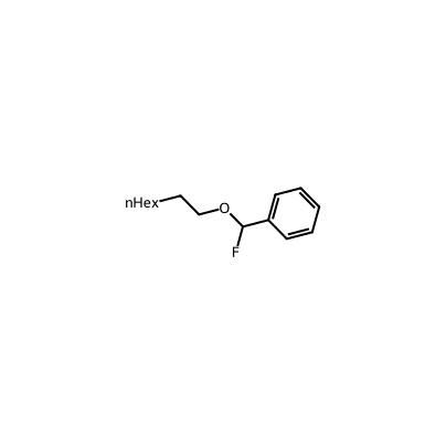 CCCCCCCCOC(F)c1ccccc1